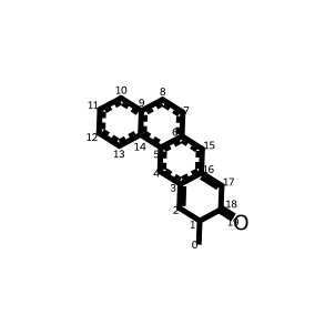 CC1C=c2cc3c(ccc4ccccc43)cc2=CC1=O